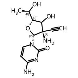 C#C[C@@]1(N)C(O)[C@@H]([C@@H](C)O)O[C@H]1n1ccc(N)nc1=O